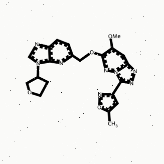 COc1cc2nnc(-c3cc(C)on3)n2nc1OCc1ccc2ncn(C3CCOC3)c2n1